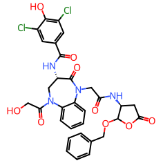 O=C(CN1C(=O)[C@@H](NC(=O)c2cc(Cl)c(O)c(Cl)c2)CN(C(=O)CO)c2ccccc21)N[C@H]1CC(=O)OC1OCc1ccccc1